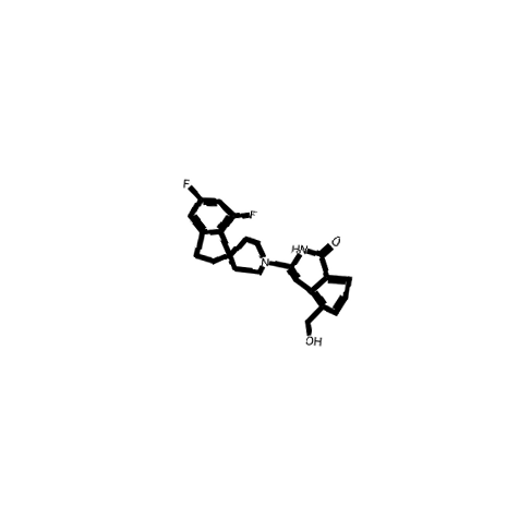 O=c1[nH]c(N2CCC3(CCc4cc(F)cc(F)c43)CC2)cc2c(CO)cccc12